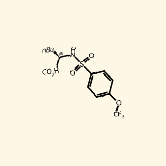 CCCC[C@@H](NS(=O)(=O)c1ccc(OC(F)(F)F)cc1)C(=O)O